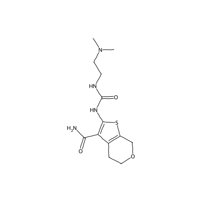 CN(C)CCNC(=O)Nc1sc2c(c1C(N)=O)CCOC2